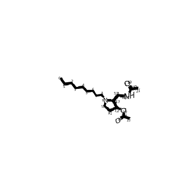 CCCCCCCCCN1CCC(OC(C)=O)C1CNC(C)=O